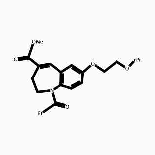 CCCOCCOc1ccc2c(c1)C=C(C(=O)OC)CCN2C(=O)CC